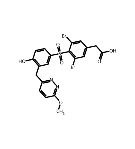 COc1ccc(Cc2cc(S(=O)(=O)c3c(Br)cc(CC(=O)O)cc3Br)ccc2O)nn1